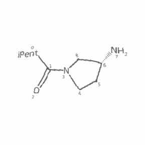 CCCC(C)C(=O)N1CC[C@@H](N)C1